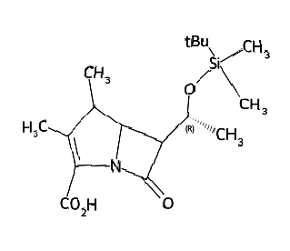 CC1=C(C(=O)O)N2C(=O)C([C@@H](C)O[Si](C)(C)C(C)(C)C)C2C1C